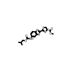 COC(=O)[C@H]1CSC(c2nc3ccc(NC(=O)OCC(C)C)cc3s2)=N1